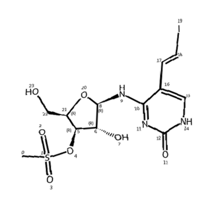 CS(=O)(=O)O[C@@H]1[C@@H](O)[C@H](Nc2nc(=O)[nH]cc2C=CI)O[C@@H]1CO